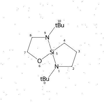 CC(C)(C)N1CCC[Si]12OCCN2C(C)(C)C